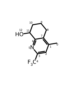 Cc1cc(C(F)(F)F)nc2c1CCCC2O